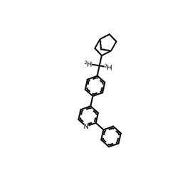 [2H]C([2H])(c1ccc(-c2ccnc(-c3ccccc3)c2)cc1)C1CC2CCC1C2